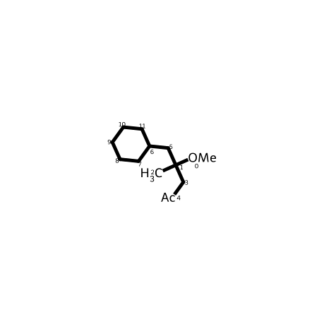 COC(C)(CC(C)=O)CC1CCCCC1